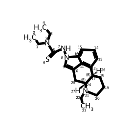 CCN(CC)C(=S)Nn1cc2c3c(cccc31)[C@H]1CCCN(CC)[C@@H]1C2